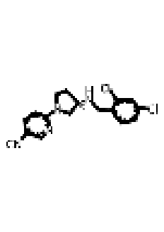 [C-]#[N+]c1ccc(N2CC[C@@H](NCc3ccc(Cl)cc3Cl)C2)nc1